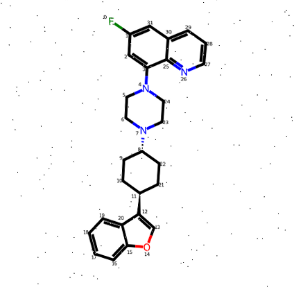 Fc1cc(N2CCN([C@H]3CC[C@H](c4coc5ccccc54)CC3)CC2)c2ncccc2c1